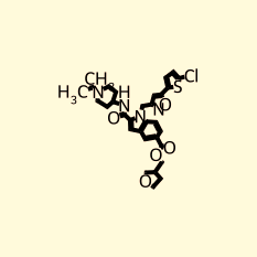 CC(C)N1CCC(NC(=O)c2cc3cc(C(=O)OCC4CCOC4)ccc3n2Cc2cc(-c3ccc(Cl)s3)on2)CC1